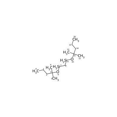 CCCC(C)(C)O[SiH2]C[SiH2]OC(C)(C)CCC